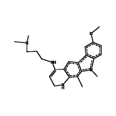 COc1ccc2c(c1)c1cc3c(c(C)c1n2C)NCC=C3NCCCN(C)C